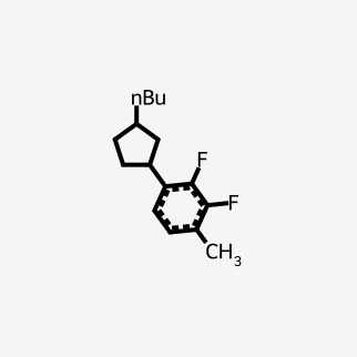 CCCCC1CCC(c2ccc(C)c(F)c2F)C1